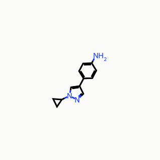 Nc1ccc(-c2cnn(C3CC3)c2)cc1